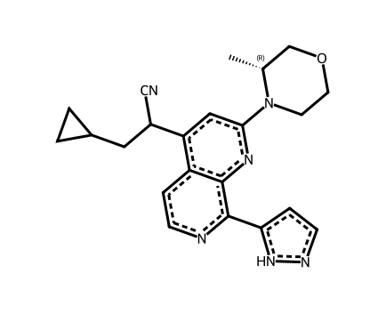 C[C@@H]1COCCN1c1cc(C(C#N)CC2CC2)c2ccnc(-c3ccn[nH]3)c2n1